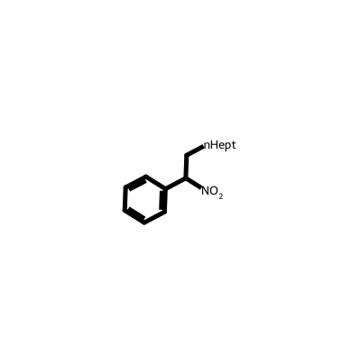 CCCCCCCCC(c1ccccc1)[N+](=O)[O-]